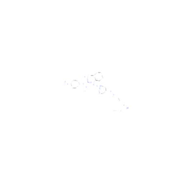 CN(C)CC=CC(=O)Nc1ccnc(-c2cccc3cnc(Nc4ccc(N5CCOCC5)cc4)nc23)c1